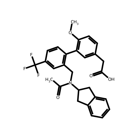 COc1ccc(CC(=O)O)cc1-c1ccc(C(F)(F)F)cc1CN(C(C)=O)C1Cc2ccccc2C1